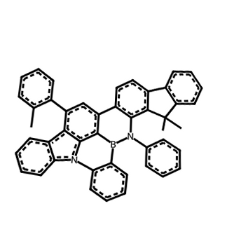 Cc1ccccc1-c1cc2c3c4c1c1ccccc1n4-c1ccccc1B3N(c1ccccc1)c1c-2ccc2c1C(C)(C)c1ccccc1-2